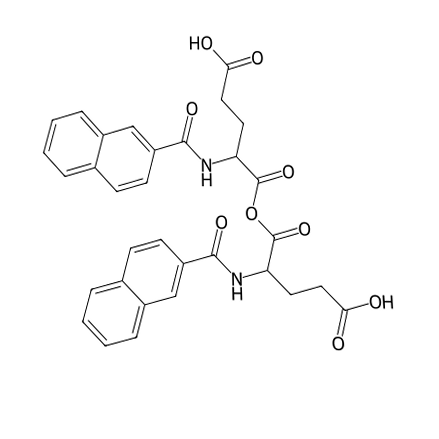 O=C(O)CCC(NC(=O)c1ccc2ccccc2c1)C(=O)OC(=O)C(CCC(=O)O)NC(=O)c1ccc2ccccc2c1